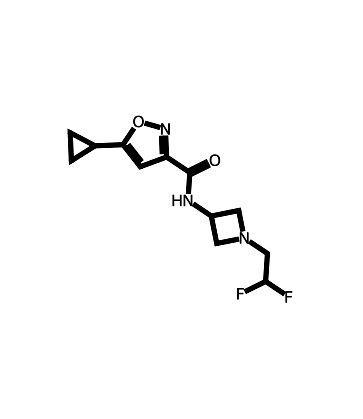 O=C(NC1CN(CC(F)F)C1)c1cc(C2CC2)on1